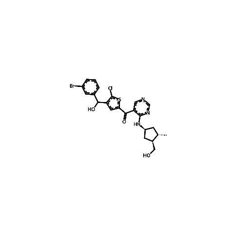 C[C@H]1C[C@H](Nc2ncncc2C(=O)c2cc(C(O)c3cccc(Br)c3)c(Cl)s2)C[C@@H]1CO